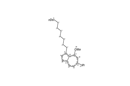 CCCCCCCCCCCCCCCCCc1ccc2ccc(C(C)C)cc(OC)c1-2